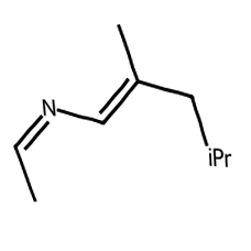 C/C=N\C=C(/C)CC(C)C